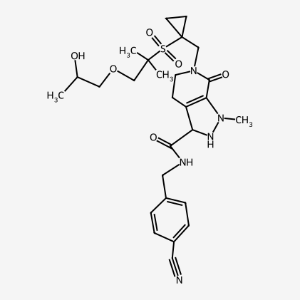 CC(O)COCC(C)(C)S(=O)(=O)C1(CN2CCC3=C(C2=O)N(C)NC3C(=O)NCc2ccc(C#N)cc2)CC1